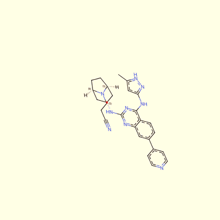 Cc1cc(Nc2nc(N[C@@H]3C[C@H]4CC[C@@H](C3)N4CCC#N)nc3cc(-c4ccncc4)ccc23)n[nH]1